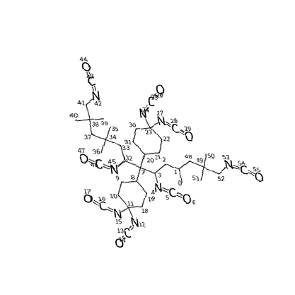 CC(CC(N=C=O)C(C1CCC(N=C=O)(N=C=O)CC1)(C1CCC(N=C=O)(N=C=O)CC1)C(CC(C)(C)CC(C)(C)CN=C=O)N=C=O)CC(C)(C)CN=C=O